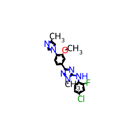 COc1cc(-c2nc(Nc3ccc(Cl)cc3F)n(C)n2)ccc1-n1cnc(C)c1